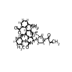 C=CC(=O)N1CCN(c2nc(=O)n(-c3c(C)ccnc3C(C)C)c3c4c(c(C)cc23)-c2c(C)cccc2C(=O)OC4)[C@@H](C)C1